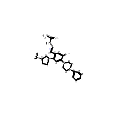 CN(C)[C@@H]1CCN(c2cc(N3CCN(c4ccccc4)CC3)c(F)cc2/C=N/NC(N)=S)C1